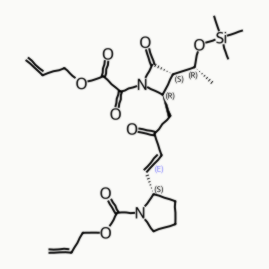 C=CCOC(=O)C(=O)N1C(=O)[C@H]([C@@H](C)O[Si](C)(C)C)[C@H]1CC(=O)/C=C/[C@@H]1CCCN1C(=O)OCC=C